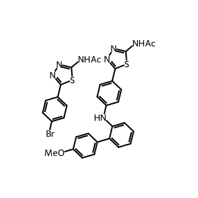 CC(=O)Nc1nnc(-c2ccc(Br)cc2)s1.COc1ccc(-c2ccccc2Nc2ccc(-c3nnc(NC(C)=O)s3)cc2)cc1